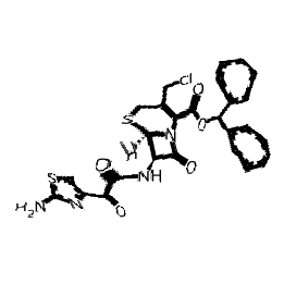 Nc1nc(C(=O)C(=O)N[C@@H]2C(=O)N3C(C(=O)OC(c4ccccc4)c4ccccc4)=C(CCl)CS[C@H]23)cs1